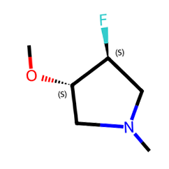 CO[C@H]1CN(C)C[C@@H]1F